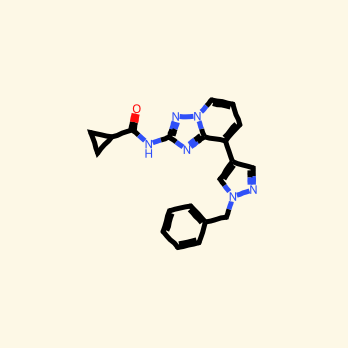 O=C(Nc1nc2c(-c3cnn(Cc4ccccc4)c3)cccn2n1)C1CC1